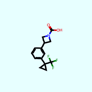 O=C(O)N1CC(c2cccc(C3(C(F)(F)F)CC3)c2)C1